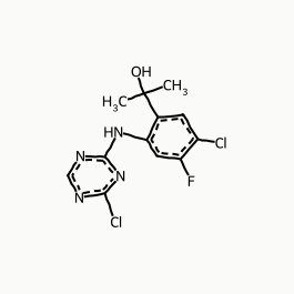 CC(C)(O)c1cc(Cl)c(F)cc1Nc1ncnc(Cl)n1